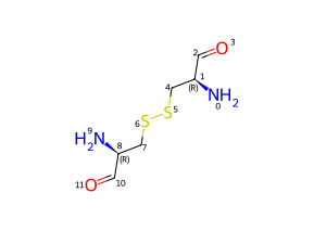 N[C@H](C=O)CSSC[C@H](N)C=O